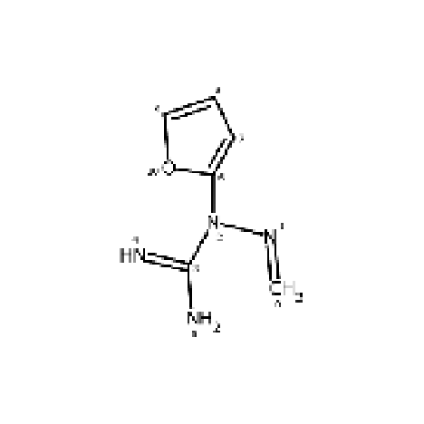 C=NN(C(=N)N)c1ccco1